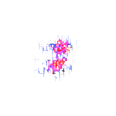 CC(C)C[C@H](NC(=O)[C@H](Cc1c[nH]cn1)NC(=O)[C@H](CC(N)=O)NC(=O)[C@H](CC(C)C)NC(=O)[C@@H](N)[C@@H](C)O)C(=O)N[C@@H](CCCCN)C(=O)N[C@@H](Cc1ccccc1)C(=O)N[C@@H](CC(C)C)C(=O)N[C@@H](CC(N)=O)C(=O)N[C@H](C(=O)N[C@@H](CC(C)C)C(=O)N[C@@H](CO)C(=O)O)C(C)C